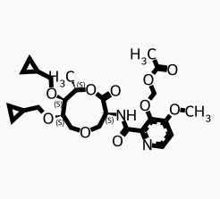 COc1ccnc(C(=O)N[C@H]2COC[C@H](OCC3CC3)[C@@H](OCC3CC3)[C@H](C)OC2=O)c1OCOC(C)=O